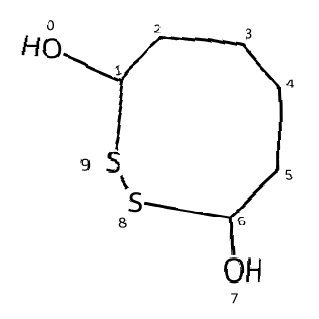 OC1CCCCC(O)SS1